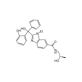 CCn1c(C(O)(c2ccccc2)c2ccccc2O)nc2ccc(C(=O)NC[C@@H](C)O)cc21